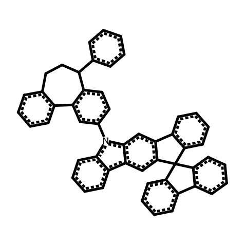 c1ccc(C2CCc3ccccc3-c3cc(-n4c5ccccc5c5cc6c(cc54)-c4ccccc4C64c5ccccc5-c5ccccc54)ccc32)cc1